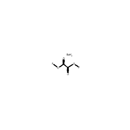 O=C(OF)C(=O)OF.[BaH2]